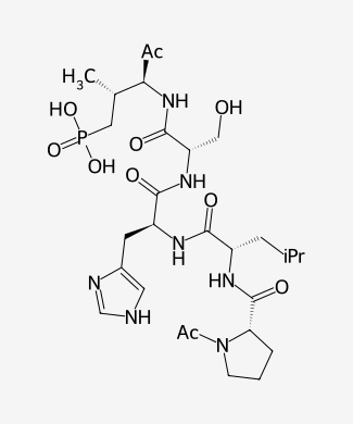 CC(=O)[C@@H](NC(=O)[C@H](CO)NC(=O)[C@H](Cc1c[nH]cn1)NC(=O)[C@H](CC(C)C)NC(=O)[C@@H]1CCCN1C(C)=O)[C@@H](C)CP(=O)(O)O